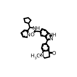 CN1CCC(=O)c2cc(-c3n[nH]c4ccc(C(=O)NC(c5ccccn5)C5CCCC5)cc34)ccc21